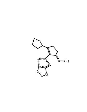 ON=C1CCC(C2CCCC2)=C1c1ccc2c(c1)OCO2